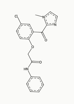 Cn1ccnc1C(=O)c1cc(Cl)ccc1OCC(=O)Nc1ccccc1